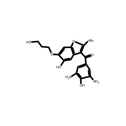 CCCCc1oc2cc(OCCCO)c(O)cc2c1C(=O)c1cc(N)c(O)c(N)c1